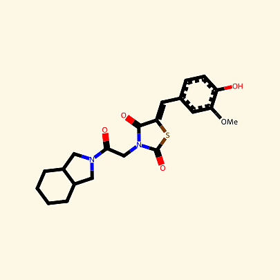 COc1cc(C=C2SC(=O)N(CC(=O)N3CC4CCCCC4C3)C2=O)ccc1O